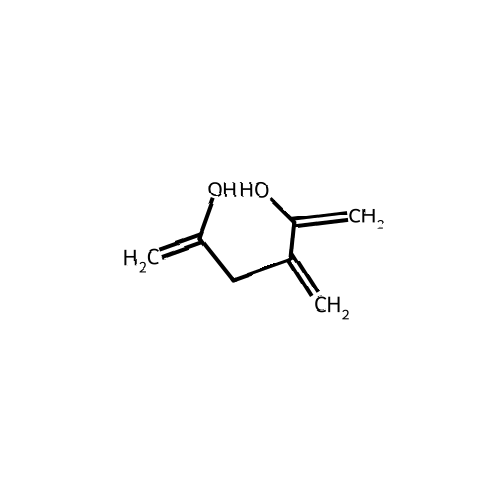 C=C(O)CC(=C)C(=C)O